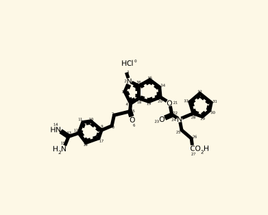 Cl.Cn1cc(C(=O)CCc2ccc(C(=N)N)cc2)c2cc(OC(=O)N(CCC(=O)O)c3ccccc3)ccc21